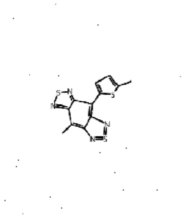 Cc1ccc(-c2c3c(c(C)c4nsnc24)N=S=N3)s1